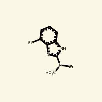 CCc1cccc2[nH]c(N(C(=O)O)C(C)C)nc12